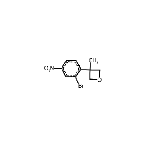 CC1(c2ccc([N+](=O)[O-])cc2Br)COC1